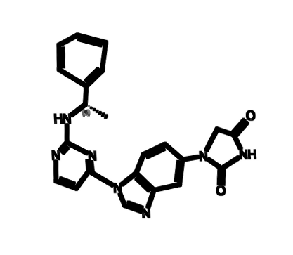 C[C@H](Nc1nccc(-n2cnc3cc(N4CC(=O)NC4=O)ccc32)n1)c1ccccc1